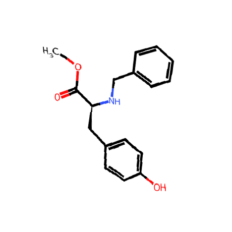 COC(=O)[C@H](Cc1ccc(O)cc1)NCc1ccccc1